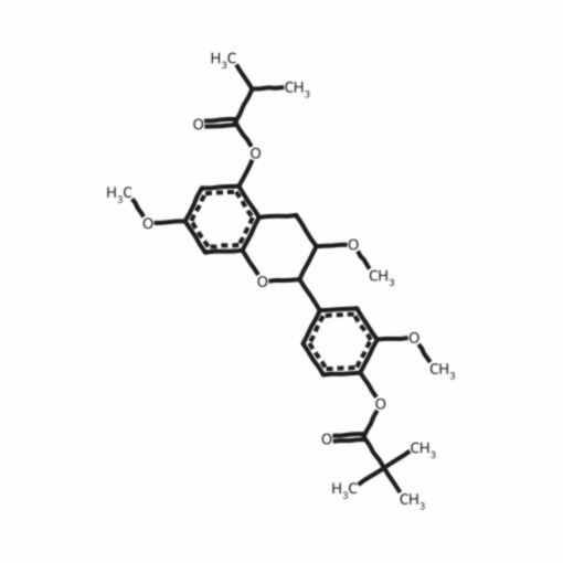 COc1cc(OC(=O)C(C)C)c2c(c1)OC(c1ccc(OC(=O)C(C)(C)C)c(OC)c1)C(OC)C2